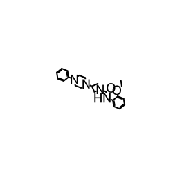 CCOc1ccccc1NC(=O)N1CC(N2CCN(c3ccccc3)CC2)C1